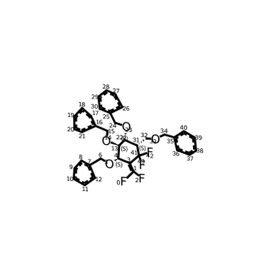 FC(F)=C1[C@H](OCc2ccccc2)[C@@H](OCc2ccccc2)[C@H](OCc2ccccc2)[C@H](COCc2ccccc2)C1(F)F